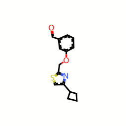 O=Cc1cccc(OCc2nc(C3CCC3)cs2)c1